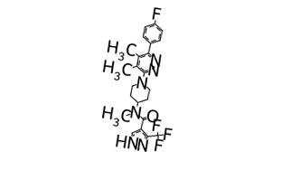 Cc1c(-c2ccc(F)cc2)nnc(N2CCC(N(C)C(=O)c3c[nH]nc3C(F)(F)F)CC2)c1C